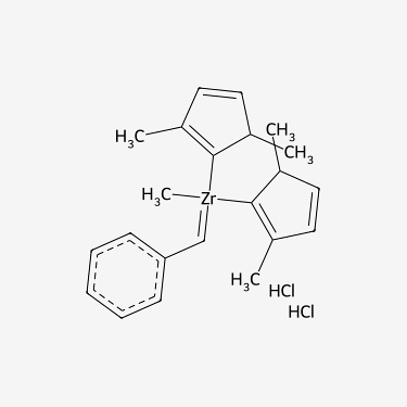 CC1=[C]([Zr]([CH3])(=[CH]c2ccccc2)[C]2=C(C)C=CC2C)C(C)C=C1.Cl.Cl